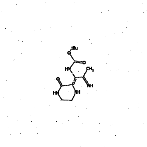 CC(=N)/C(NC(=O)OC(C)(C)C)=C1\NCCNC1=O